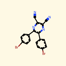 N#Cc1nc(-c2ccc(Br)cc2)c(-c2ccc(Br)cc2)nc1C#N